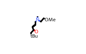 COCCN(C)C/C=C/C(=O)CC(C)(C)C